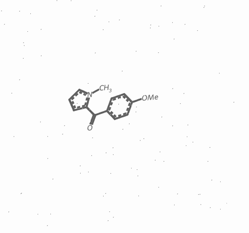 COc1ccc(C(=O)c2cccn2C)cc1